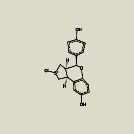 [O-][S+]1C[C@@H]2[C@H](C1)c1cc(O)ccc1O[C@@H]2c1ccc(O)cc1